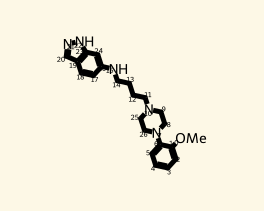 COc1ccccc1N1CCN(CCCCNc2ccc3cn[nH]c3c2)CC1